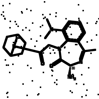 CC1=N[C@H](N)C(=O)N(CC(=O)N2CC3CCC(CC3)C2)c2c1cccc2N(C)C